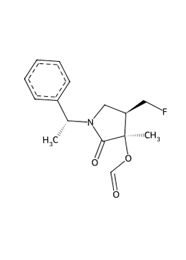 C[C@H](c1ccccc1)N1C[C@@H](CF)[C@@](C)(OC=O)C1=O